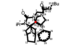 COCCN1C(=O)N(C(C)C)C2(CC3CCC(C2)N3C[C@H]2CN(C(=O)OC(C)(C)C)C[C@@H]2c2ccccc2)C1=O